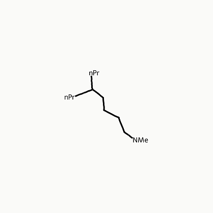 CCCC(CCC)CCCCNC